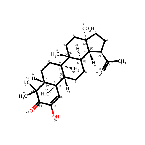 C=C(C)[C@@H]1CC[C@]2(C(=O)O)CC[C@]3(C)[C@H](CC[C@@H]4[C@@]5(C)C=C(O)C(=O)C(C)(C)[C@@H]5CC[C@]43C)[C@@H]12